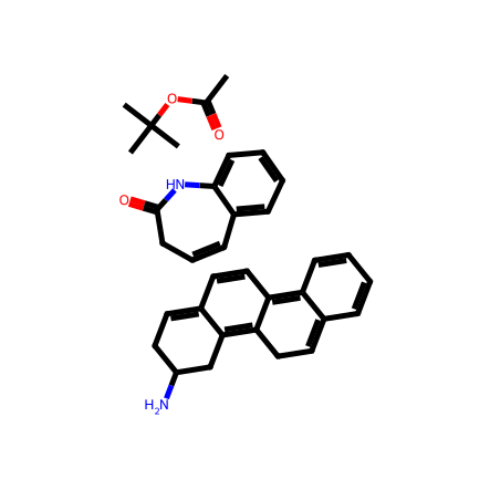 CC(=O)OC(C)(C)C.NC1CC=c2ccc3c(c2C1)CC=c1ccccc1=3.O=C1CC=Cc2ccccc2N1